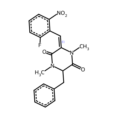 CN1C(=O)C(Cc2ccccc2)N(C)C(=O)/C1=C\c1c(F)cccc1[N+](=O)[O-]